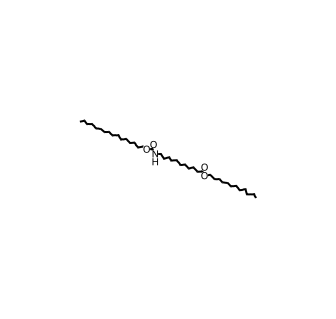 CCCCCCCCCCCCCCCCOC(=O)NCCCCCCCCCCC(=O)OCCCCCCCCCCCC